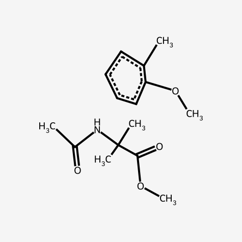 COC(=O)C(C)(C)NC(C)=O.COc1ccccc1C